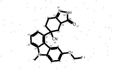 Cn1c2ccc(OCF)cc2c2c(C3(C#N)CCC4=NNC(=O)C4C3)cccc21